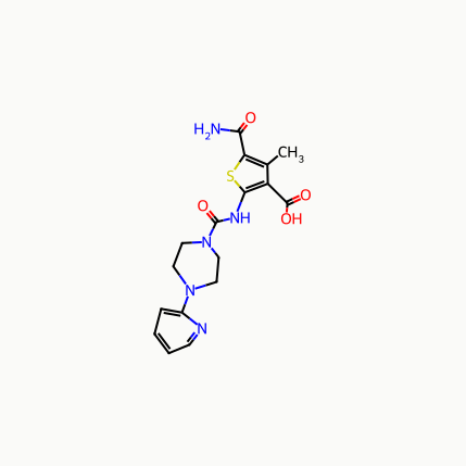 Cc1c(C(N)=O)sc(NC(=O)N2CCN(c3ccccn3)CC2)c1C(=O)O